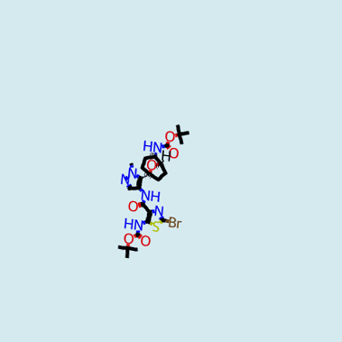 Cn1ncc(NC(=O)c2nc(Br)sc2NC(=O)OC(C)(C)C)c1[C@@]12CC[C@@H](NC(=O)OC(C)(C)C)[C@@H](CC1)O2